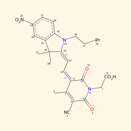 CC1=C(C#N)C(=O)N(CC(=O)O)C(=O)/C1=C\C=C1\N(CCC(C)C)c2ccc([N+](=O)[O-])cc2C1(C)C